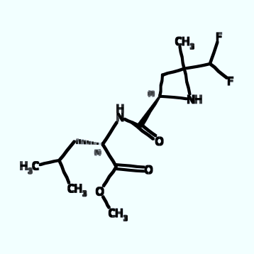 COC(=O)[C@H](CC(C)C)NC(=O)[C@H]1CC(C)(C(F)F)N1